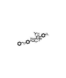 CC[C@@H](CNc1ccc(OCc2ccccc2)cc1)NC(=O)[C@H](CC(C)C)N[C@@H](c1ccc(OC)cc1)C(F)(F)F